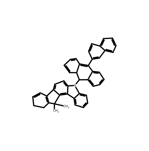 CC1(C)C2=C(C=CCC2)c2ccc3c(c21)c1ccccc1n3C1c2ccccc2C(c2ccc3ccccc3c2)=C2C=CC=CC21